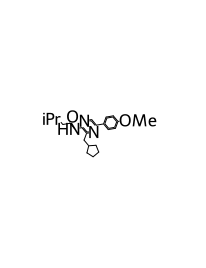 COc1ccc(-c2cnc(NC(=O)CC(C)C)c(CC3CCCC3)n2)cc1